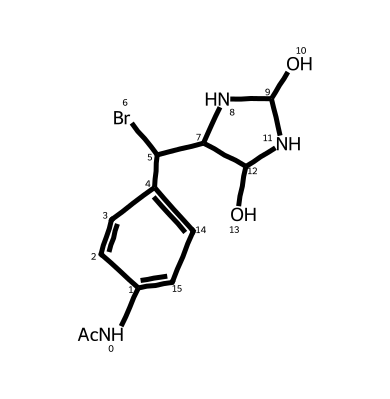 CC(=O)Nc1ccc(C(Br)C2NC(O)NC2O)cc1